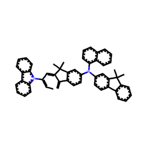 C=C1/C(=C\C(=C/C)n2c3ccccc3c3ccccc32)C(C)(C)c2cc(N(c3ccc4c(c3)C(C)(C)c3ccccc3-4)c3cccc4ccccc34)ccc21